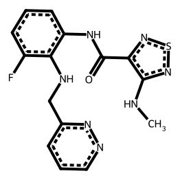 CNc1nsnc1C(=O)Nc1cccc(F)c1NCc1cccnn1